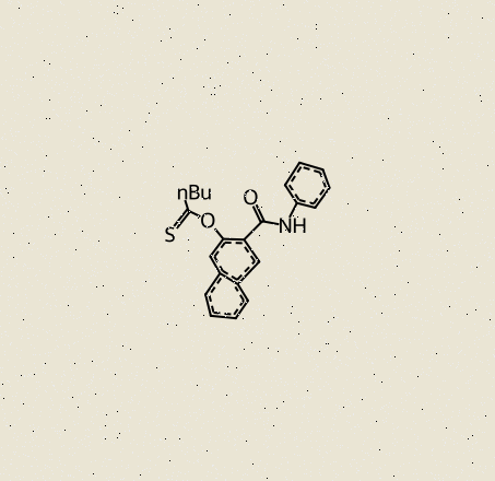 CCCCC(=S)Oc1cc2ccccc2cc1C(=O)Nc1ccccc1